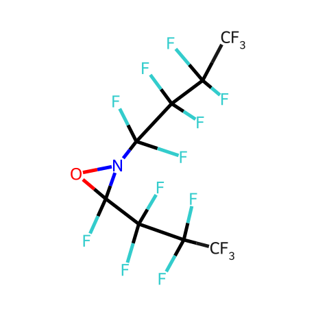 FC(F)(F)C(F)(F)C(F)(F)C(F)(F)N1OC1(F)C(F)(F)C(F)(F)C(F)(F)F